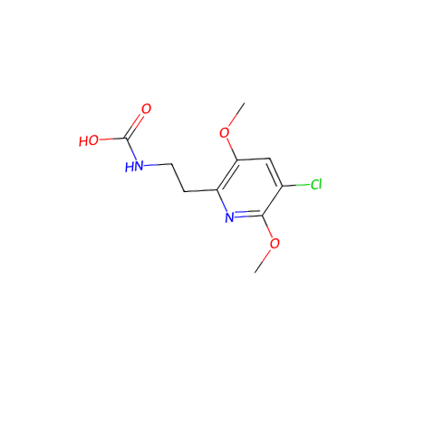 COc1cc(Cl)c(OC)nc1CCNC(=O)O